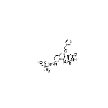 CC(C)(CO)CCNC1CCc2cc(OCc3ccccc3)c(N3CC(=O)NS3(=O)=O)c(F)c2C1